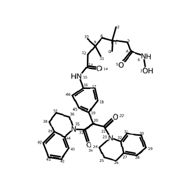 CC(C)(CC(=O)NO)CC(C)(C)CC(=O)Nc1ccc(C(C(=O)N2CCCc3ccccc32)C(=O)N2CCCc3ccccc32)cc1